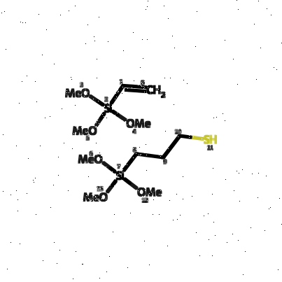 C=C[Si](OC)(OC)OC.CO[Si](CCCS)(OC)OC